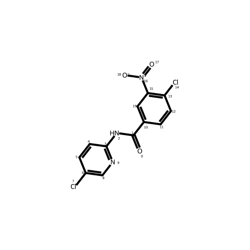 O=C(Nc1ccc(Cl)cn1)c1ccc(Cl)c([N+](=O)[O-])c1